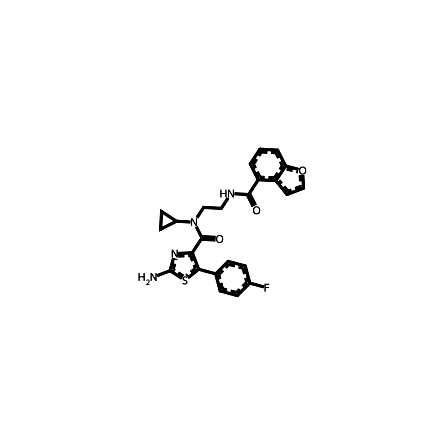 Nc1nc(C(=O)N(CCNC(=O)c2cccc3occc23)C2CC2)c(-c2ccc(F)cc2)s1